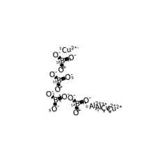 [Al+3].[Al+3].[Cu+2].[Cu+2].[Cu+2].[O-]B([O-])[O-].[O-]B([O-])[O-].[O-]B([O-])[O-].[O-]B([O-])[O-]